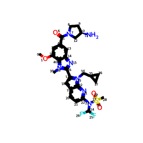 COc1cc(C(=O)N2CC[C@@H](N)C2)cc2nc(-c3cc4ccc(N(C(F)F)S(C)(=O)=O)nc4n3CC3CC3)n(C)c12